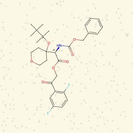 CC(C)(C)[Si](C)(C)OC1([C@@H](NC(=O)OCc2ccccc2)C(=O)OCC(=O)c2cc(F)ccc2F)CCOCC1